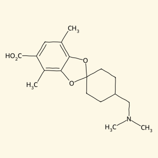 Cc1cc(C(=O)O)c(C)c2c1OC1(CCC(CN(C)C)CC1)O2